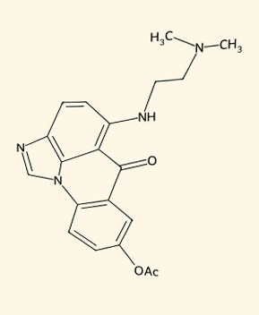 CC(=O)Oc1ccc2c(c1)c(=O)c1c(NCCN(C)C)ccc3ncn2c31